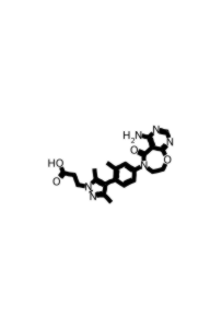 Cc1cc(N2CCOc3ncnc(N)c3C2=O)ccc1-c1c(C)nn(CCC(=O)O)c1C